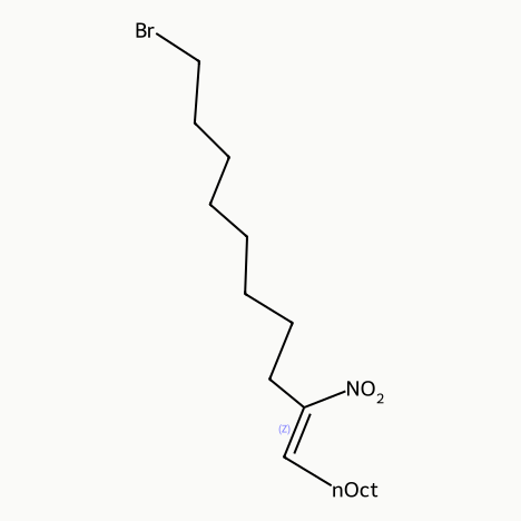 CCCCCCCC/C=C(/CCCCCCCCBr)[N+](=O)[O-]